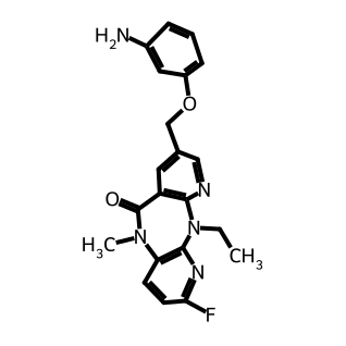 CCN1c2ncc(COc3cccc(N)c3)cc2C(=O)N(C)c2ccc(F)nc21